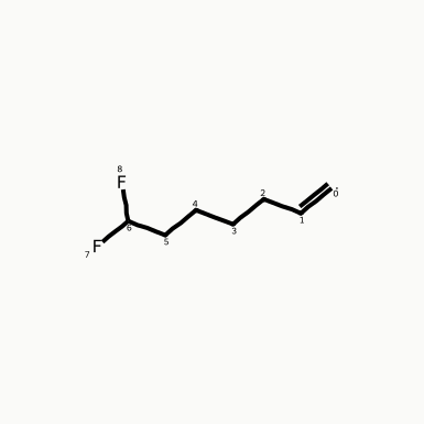 [CH]=CCCCCC(F)F